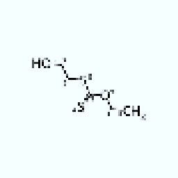 CCOC(=S)SCCO